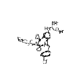 CCCC(COC(C)C)Nc1ccc2c(c1)c(=O)n(CC(=O)OCC)c(=O)n2Cc1ccc(Cl)cc1